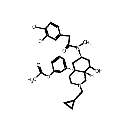 CC(=O)Oc1cccc([C@@]23CCN(CC4CC4)C[C@H]2C(O)C[C@H](N(C)C(=O)Cc2ccc(Cl)c(Cl)c2)C3)c1